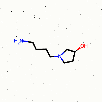 NCCCCN1CC[C@H](O)C1